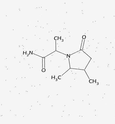 CC1CC(=O)N(C(C)C(N)=O)C1C